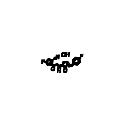 Cl.N#C[C@@H]1C[C@H](F)CN1C(=O)CN[C@H]1CCN(Cc2ccc(F)cc2)C1=O